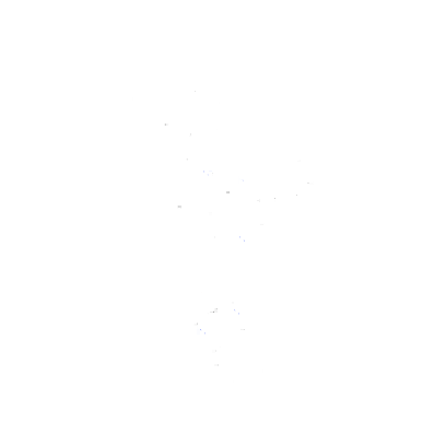 CC(=O)c1cccc(CN2CN(c3ccccc3)C3(CCN(CCCn4c(=O)[nH]c5ccccc54)CC3)C2=O)c1